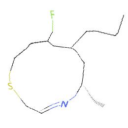 CCCC1C[C@H](C)/N=C\CSCCC1F